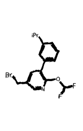 CC(C)c1cccc(-c2cc(CBr)cnc2OC(F)F)c1